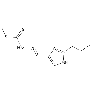 CCCc1nc(C=NNC(=S)SC)c[nH]1